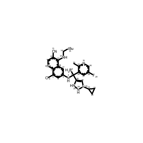 BC(Nc1cc(Cl)c2ncc(C#N)c(NCC(C)(C)C)c2c1)(C1=CN(C2CC2)NN1)c1cc(F)cnc1C